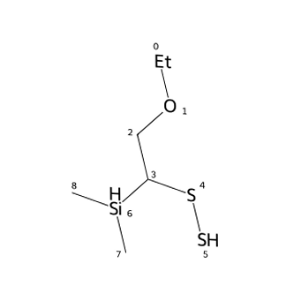 CCOCC(SS)[SiH](C)C